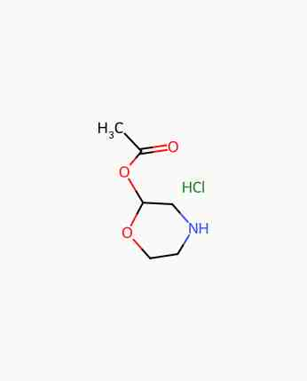 CC(=O)OC1CNCCO1.Cl